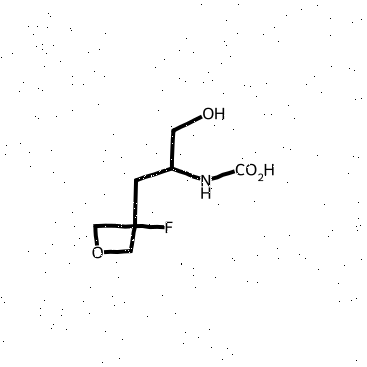 O=C(O)NC(CO)CC1(F)COC1